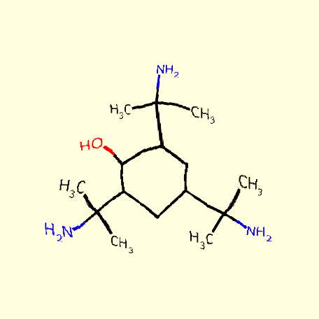 CC(C)(N)C1CC(C(C)(C)N)C(O)C(C(C)(C)N)C1